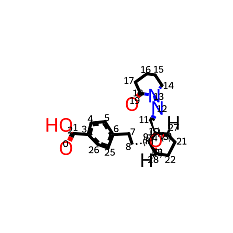 O=C(O)c1ccc(CC[C@@H]2[C@@H](C=NN3CCCCC3=O)[C@@H]3CC[C@H]2O3)cc1